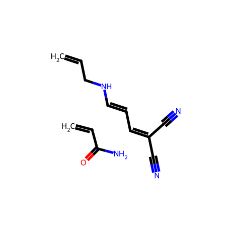 C=CC(N)=O.C=CCNC=CC=C(C#N)C#N